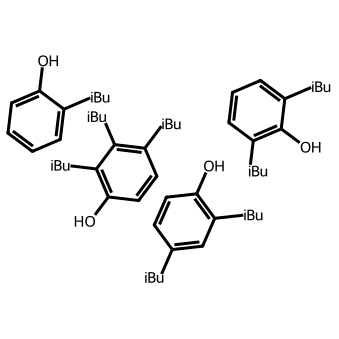 CCC(C)c1ccc(O)c(C(C)CC)c1.CCC(C)c1ccc(O)c(C(C)CC)c1C(C)CC.CCC(C)c1cccc(C(C)CC)c1O.CCC(C)c1ccccc1O